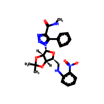 CNC(=O)c1nnn([C@@H]2O[C@H](CNc3ccccc3[N+](=O)[O-])[C@H]3OC(C)(C)O[C@H]32)c1-c1ccccc1